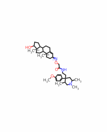 COc1ccc(C2(CCNC(=O)CO/N=C3/C=C4CCC5C6CCC(O)[C@@]6(C)CCC5[C@@]4(C)CC3)CC(C)N(C)CC2C)cc1